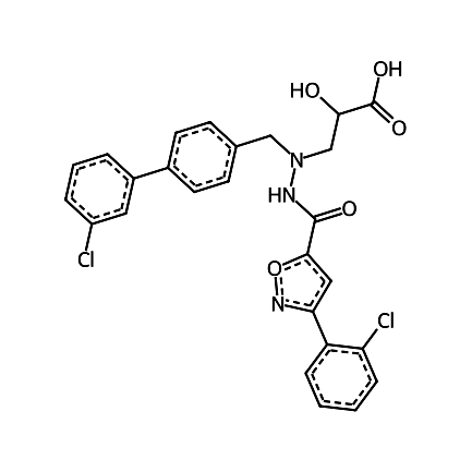 O=C(NN(Cc1ccc(-c2cccc(Cl)c2)cc1)CC(O)C(=O)O)c1cc(-c2ccccc2Cl)no1